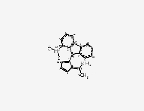 CC(C)=C1C=CC=C1C1c2ccccc2-c2ccc[c]([Hf]([Cl])[Cl])c21